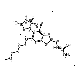 COCCOCOc1cc2c(c(F)c1N1CC(=O)NS1(=O)=O)CC(CNC(=O)O)C2